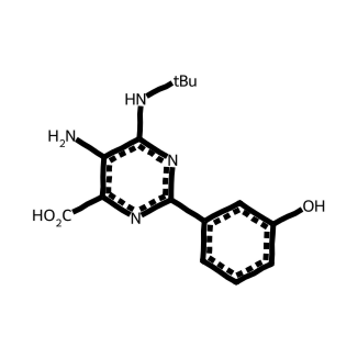 CC(C)(C)Nc1nc(-c2cccc(O)c2)nc(C(=O)O)c1N